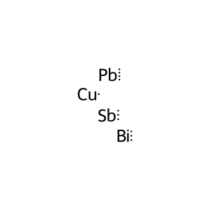 [Bi].[Cu].[Pb].[Sb]